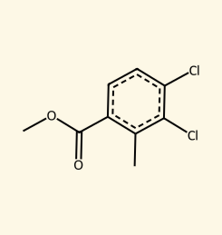 COC(=O)c1ccc(Cl)c(Cl)c1C